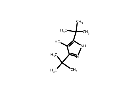 CC(C)(C)c1n[nH]c(C(C)(C)C)c1O